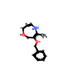 C/C1=C(\OCc2ccccc2)COC/C=C\N1